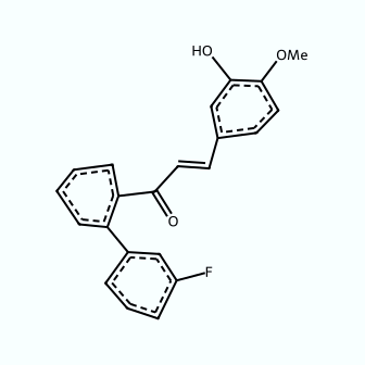 COc1ccc(C=CC(=O)c2ccccc2-c2cccc(F)c2)cc1O